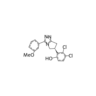 COc1cccc(-c2nnc3n2C[C@H](c2c(O)ccc(Cl)c2Cl)C3)c1